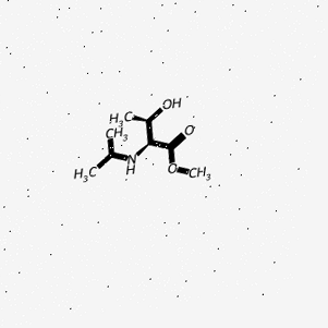 COC(=O)[C@@H](NC(C)C)[C@@H](C)O